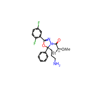 CC[C@H](OC)C(=O)N1N=C(c2cc(F)ccc2F)O[C@@]1(CCCN)c1ccccc1